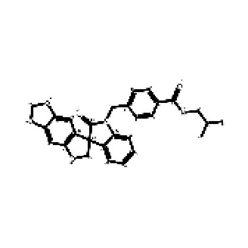 CC(C)CNC(=O)c1ccc(CN2C(=O)C3(COc4cc5c(cc43)OCO5)c3ccccc32)cc1